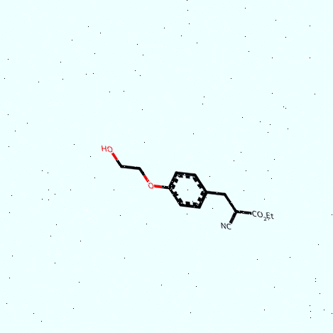 CCOC(=O)C(C#N)Cc1ccc(OCCO)cc1